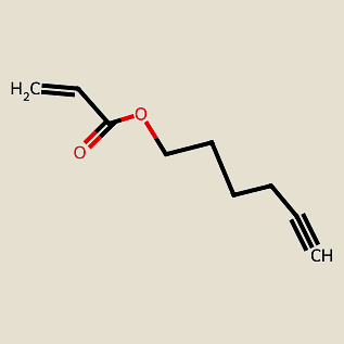 C#CCCCCOC(=O)C=C